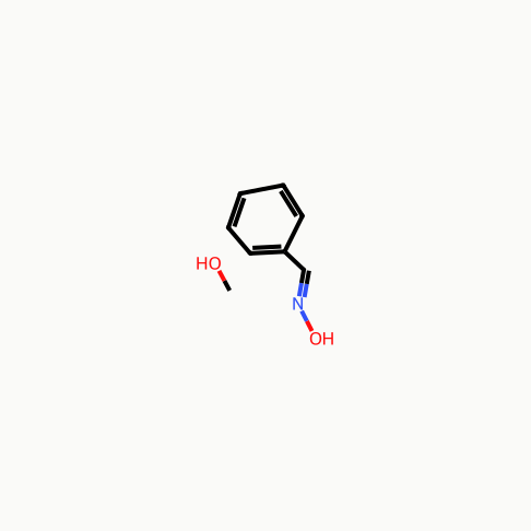 CO.ON=Cc1ccccc1